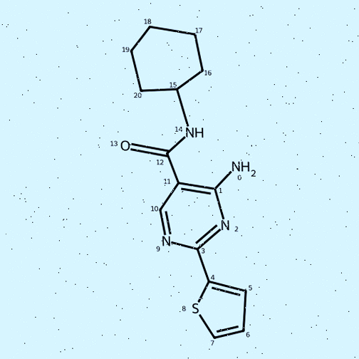 Nc1nc(-c2cccs2)ncc1C(=O)NC1CCCCC1